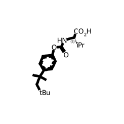 CC(C)[C@H](NC(=O)Oc1ccc(C(C)(C)CC(C)(C)C)cc1)C(=O)O